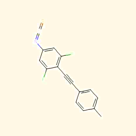 Cc1ccc(C#Cc2c(F)cc(N=C=S)cc2F)cc1